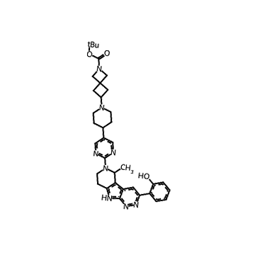 CC1c2c([nH]c3nnc(-c4ccccc4O)cc23)CCN1c1ncc(C2CCN(C3CC4(C3)CN(C(=O)OC(C)(C)C)C4)CC2)cn1